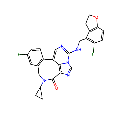 O=C1c2ncn3c(NCc4c(F)ccc5c4CCO5)ncc(c23)-c2ccc(F)cc2CN1C1CC1